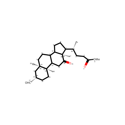 COC(=O)CC[C@@H](C)C1CCC2C3CC[C@@H]4C[C@@H](C=O)CC[C@]4(C)C3CC(=O)[C@@]21C